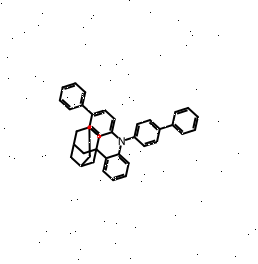 c1ccc(-c2ccc(N(c3ccc(-c4ccccc4)cc3)c3ccccc3C34CC5CC(CC(C5)C3)C4)cc2)cc1